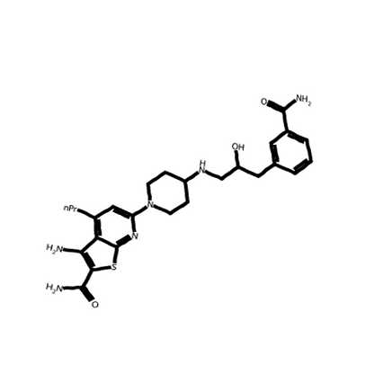 CCCc1cc(N2CCC(NCC(O)Cc3cccc(C(N)=O)c3)CC2)nc2sc(C(N)=O)c(N)c12